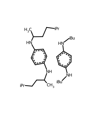 CC(C)CCC(C)Nc1ccc(NC(C)CCC(C)C)cc1.CCC(C)Nc1ccc(NC(C)CC)cc1